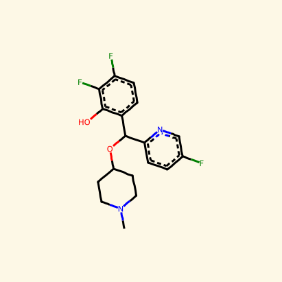 CN1CCC(OC(c2ccc(F)cn2)c2ccc(F)c(F)c2O)CC1